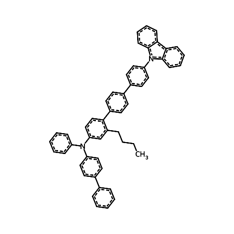 CCCCc1cc(N(c2ccccc2)c2ccc(-c3ccccc3)cc2)ccc1-c1ccc(-c2ccc(-n3c4ccccc4c4ccccc43)cc2)cc1